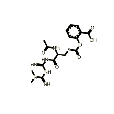 CC(=O)N[C@@H](CSC(=O)Oc1ccccc1C(=O)O)C(=O)NC(=N)NC(=N)N(C)C